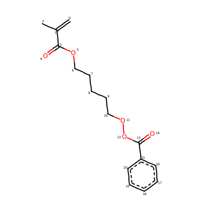 C=C(C)C(=O)OCCCCCOOC(=O)c1ccccc1